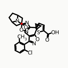 Cc1cccc(Cl)c1-c1noc(C2CC2)c1COC1CC2CCC(C1)N2c1nc(-c2ccc(C(=O)O)s2)no1